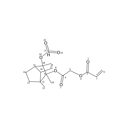 C=CC(=O)OCC(=O)OC1(C)C2(C)CCC(C2C)C1(C)O[SH](=O)=O